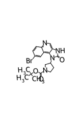 CC(C)(C)OC(=O)N1CCC(n2c(=O)[nH]c3cnc4ccc(Br)cc4c32)C1